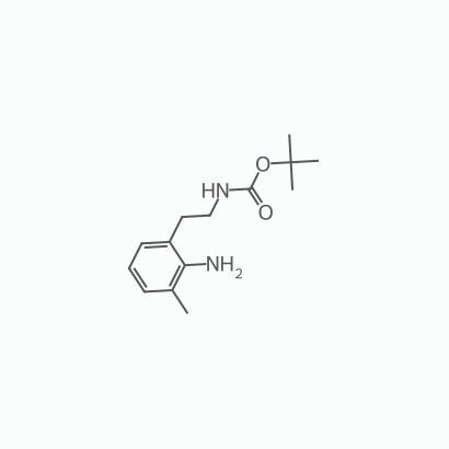 Cc1cccc(CCNC(=O)OC(C)(C)C)c1N